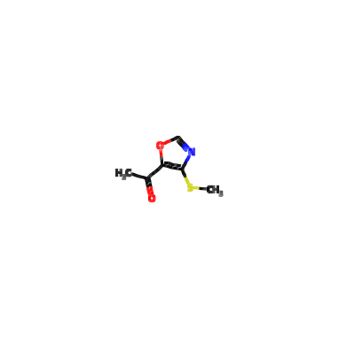 CSc1ncoc1C(C)=O